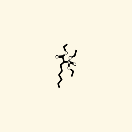 CCCCCCC(C(=O)OCC)P(=O)(OCC)OCC